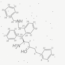 NC(CC(O)CCc1ccccc1)[C@@H](c1ccccc1)c1ccccc1CNCc1ccccc1